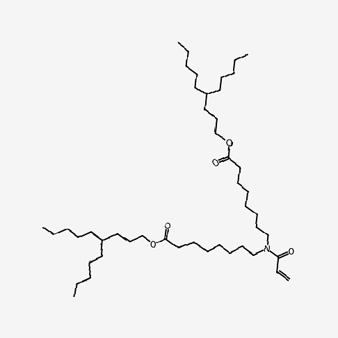 C=CC(=O)N(CCCCCCCC(=O)OCCCC(CCCCC)CCCCC)CCCCCCCC(=O)OCCCC(CCCCC)CCCCC